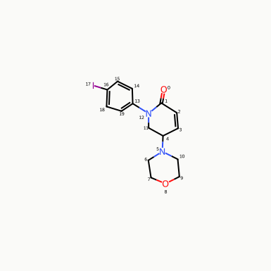 O=C1C=CC(N2CCOCC2)CN1c1ccc(I)cc1